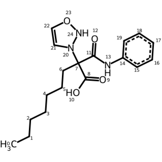 CCCCCCCC(C(=O)O)(C(=O)Nc1ccccc1)N1C=CON1